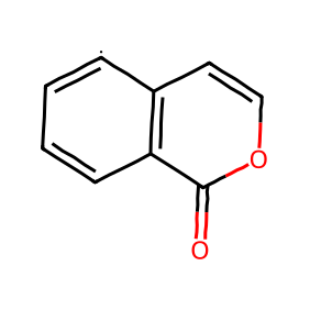 O=c1occc2[c]cccc12